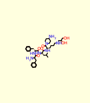 CC(C)C[C@@H](NC(=O)[C@@H](Cc1ccccc1)NC(=O)[C@H](N)Cc1ccccc1)C(=O)N[C@H](CCCCNC[C@H](O)CO)C(=O)N1CCC(N)CC1